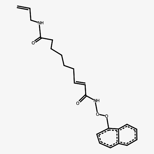 C=CCNC(=O)CCCCCC=CC(=O)NOOc1cccc2ccccc12